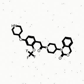 O=C(Cc1ccc(OC2CCNCC2)cc1OC(F)(F)F)N1CCC(N2C(=O)OCc3ccccc32)CC1